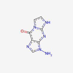 Nn1cnc2c(=O)n3cc[nH]c3nc21